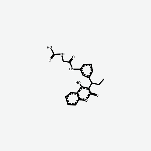 CCC(c1cccc(NC(=O)CNC(=O)O)c1)c1c(O)c2ccccc2oc1=O